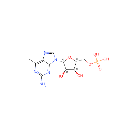 Cc1nc(N)nc2c1ncn2[C@@H]1O[C@H](COP(=O)(O)O)[C@@H](O)[C@H]1O